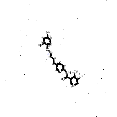 Cc1c(F)cncc1C(=O)Nc1ccc(CC/C=N/Oc2ncc(F)cc2F)cn1